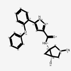 N#CN1C[C@H]2C[C@@]2(NC(=O)c2cc(-c3ccccc3Oc3ccccc3)[nH]n2)C1